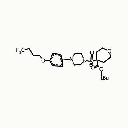 CC(C)(C)OC(=O)C1(S(=O)(=O)N2CCN(c3ccc(OCCCC(F)(F)F)cc3)CC2)CCOCC1